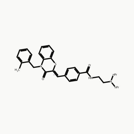 CCCN(CCC)CCNC(=O)c1ccc(/C=C2\Sc3ccccc3N(Cc3ccccc3C)C2=O)cc1